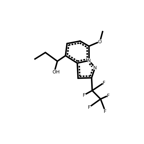 CCC(O)c1ccc(OC)n2nc(C(F)(F)C(F)(F)F)cc12